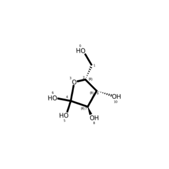 OC[C@H]1OC(O)(O)[C@H](O)[C@H]1O